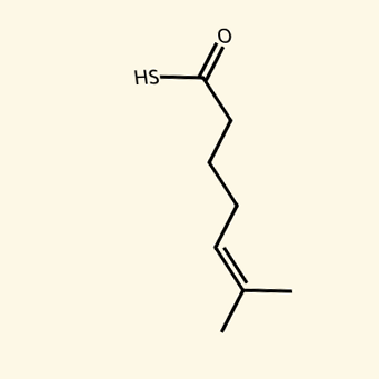 CC(C)=CCCCC(=O)S